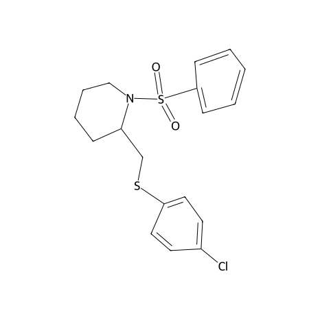 O=S(=O)(c1ccccc1)N1CCCCC1CSc1ccc(Cl)cc1